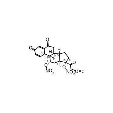 CC(=O)OCC(=O)[C@]1(O[N+](=O)[O-])[C@@H](C)C[C@H]2[C@@H]3CC(=O)C4=CC(=O)C=C[C@]4(C)[C@@]3(F)[C@@H](O[N+](=O)[O-])C[C@@]21C